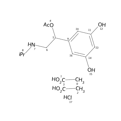 CC(=O)O.CC(=O)O.CC(=O)OC(CNC(C)C)c1cc(O)cc(O)c1.Cl